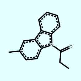 CCC(=O)n1c2ccccc2c2cc(C)ccc21